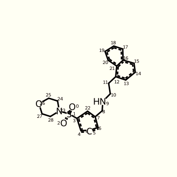 O=S(=O)(c1cccc(CNCCc2cccc3ccccc23)c1)N1CCOCC1